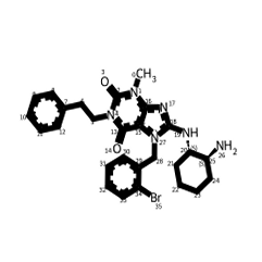 Cn1c(=O)n(CCc2ccccc2)c(=O)c2c1nc(N[C@H]1CCCC[C@@H]1N)n2Cc1ccccc1Br